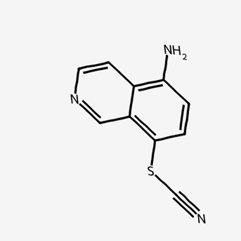 N#CSc1ccc(N)c2ccncc12